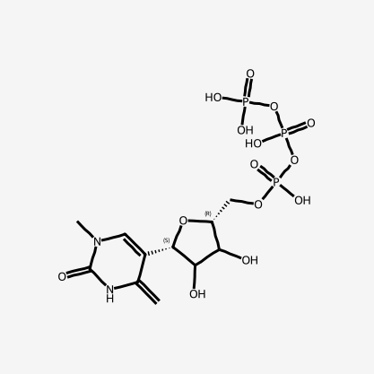 C=C1NC(=O)N(C)C=C1[C@@H]1O[C@H](COP(=O)(O)OP(=O)(O)OP(=O)(O)O)C(O)C1O